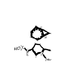 CCCCN1CC(NC(=O)O)CCC1C.c1ccc2c(c1)C2